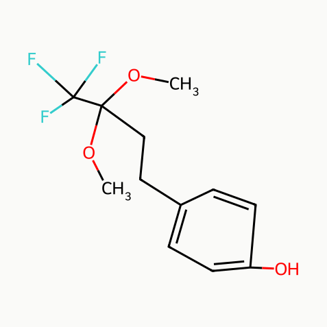 COC(CCc1ccc(O)cc1)(OC)C(F)(F)F